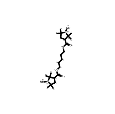 CC1(C)CC(C(=O)OCCCCCOC(=O)C2CC(C)(C)N(O)C2(C)C)C(C)(C)N1O